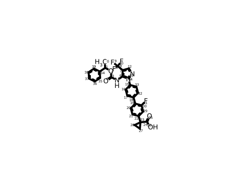 CC(OC(=O)Nc1c(C(F)(F)F)cnn1-c1ccc(-c2ccc(C3(C(=O)O)CC3)cc2F)cc1)c1ccccc1